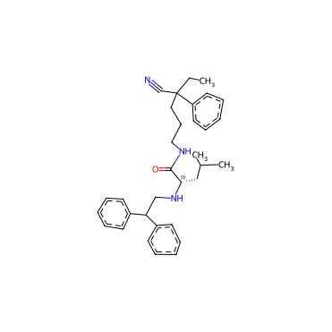 CCC(C#N)(CCCNC(=O)[C@H](CC(C)C)NCC(c1ccccc1)c1ccccc1)c1ccccc1